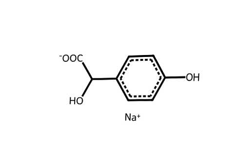 O=C([O-])C(O)c1ccc(O)cc1.[Na+]